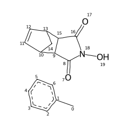 Cc1ccccc1.O=C1C2C3C=CC(C3)C2C(=O)N1O